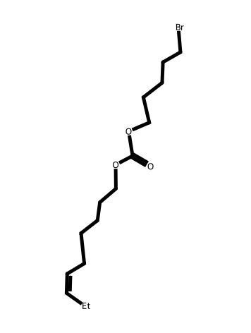 CC/C=C\CCCCCOC(=O)OCCCCCBr